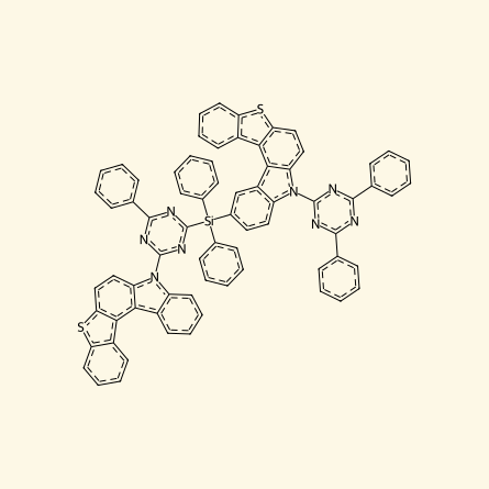 c1ccc(-c2nc(-c3ccccc3)nc(-n3c4ccc([Si](c5ccccc5)(c5ccccc5)c5nc(-c6ccccc6)nc(-n6c7ccccc7c7c8c(ccc76)sc6ccccc68)n5)cc4c4c5c(ccc43)sc3ccccc35)n2)cc1